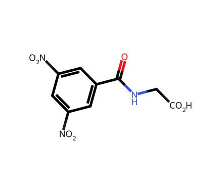 O=C(O)CNC(=O)c1cc([N+](=O)[O-])cc([N+](=O)[O-])c1